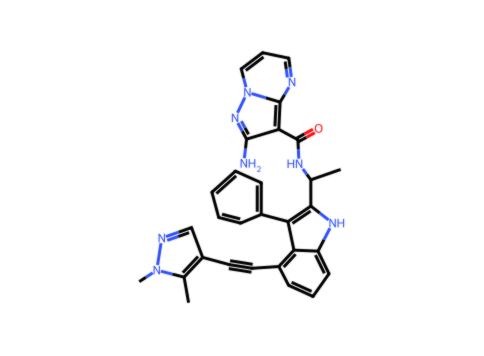 Cc1c(C#Cc2cccc3[nH]c(C(C)NC(=O)c4c(N)nn5cccnc45)c(-c4ccccc4)c23)cnn1C